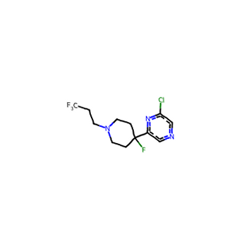 FC(F)(F)CCN1CCC(F)(c2cncc(Cl)n2)CC1